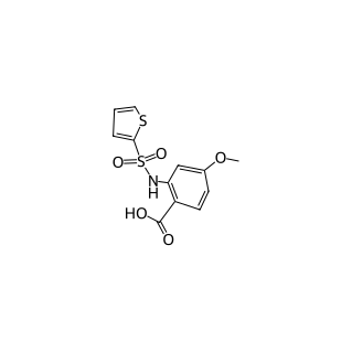 COc1ccc(C(=O)O)c(NS(=O)(=O)c2cccs2)c1